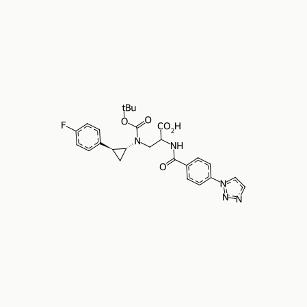 CC(C)(C)OC(=O)N(CC(NC(=O)c1ccc(-n2ccnn2)cc1)C(=O)O)[C@@H]1C[C@H]1c1ccc(F)cc1